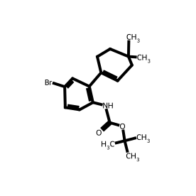 CC1(C)CC=C(c2cc(Br)ccc2NC(=O)OC(C)(C)C)CC1